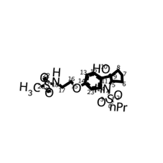 CCCS(=O)(=O)NC1CCCC1(O)c1ccc(OCCNS(C)(=O)=O)cc1